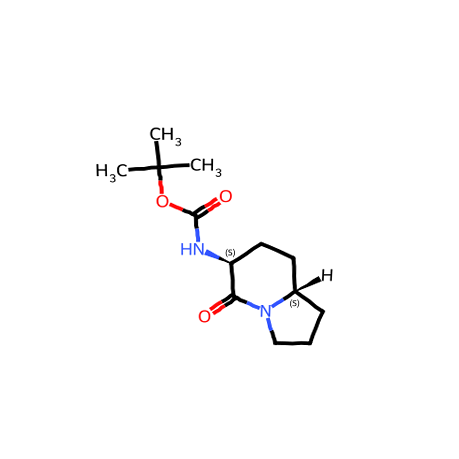 CC(C)(C)OC(=O)N[C@H]1CC[C@@H]2CCCN2C1=O